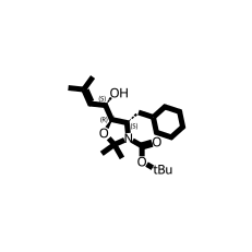 CC(C)=C[C@H](O)[C@@H]1OC(C)(C)N(C(=O)OC(C)(C)C)[C@H]1CC1CCCCC1